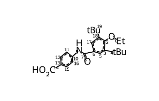 CCOc1c(C(C)(C)C)cc(C(=O)Nc2ccc(C(=O)O)cc2)cc1C(C)(C)C